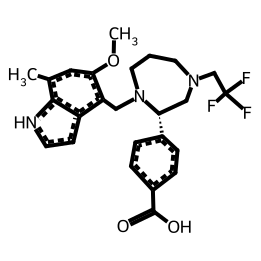 COc1cc(C)c2[nH]ccc2c1CN1CCCN(CC(F)(F)F)C[C@@H]1c1ccc(C(=O)O)cc1